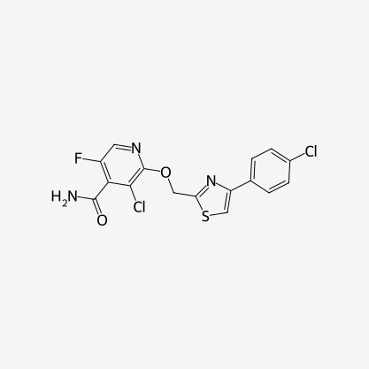 NC(=O)c1c(F)cnc(OCc2nc(-c3ccc(Cl)cc3)cs2)c1Cl